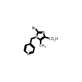 Cc1c(C(=O)O)nc(Br)n1Cc1ccncc1